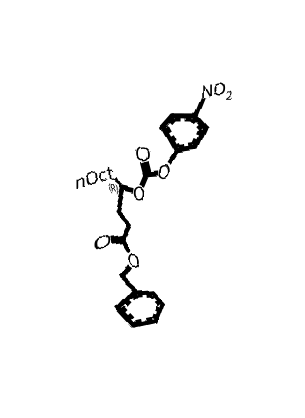 CCCCCCCC[C@H](CCC(=O)OCc1ccccc1)OC(=O)Oc1ccc([N+](=O)[O-])cc1